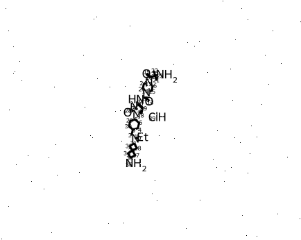 CCN(CC1CCC(n2ccc(NC(=O)N3CCN(C(=O)C(C)(C)N)CC3)nc2=O)CC1)C1CC2(CC(N)C2)C1.Cl